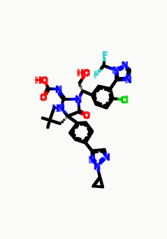 CC(C)(C)C[C@]1(c2ccc(-c3cnn(C4CC4)n3)cc2)N/C(=N\C(=O)O)N([C@H](CO)c2ccc(Cl)c(-c3ncnn3C(F)F)c2)C1=O